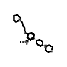 Cl.Cl.c1cc([C@H]2CC[C@@H](N3CCOCC3)CC2)ccc1OCCCN1CCCCC1